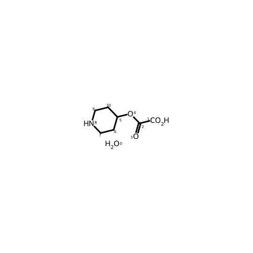 O.O=C(O)C(=O)OC1CCNCC1